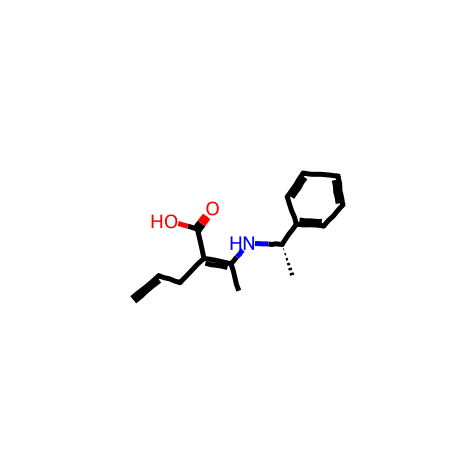 C=CCC(C(=O)O)=C(C)N[C@@H](C)c1ccccc1